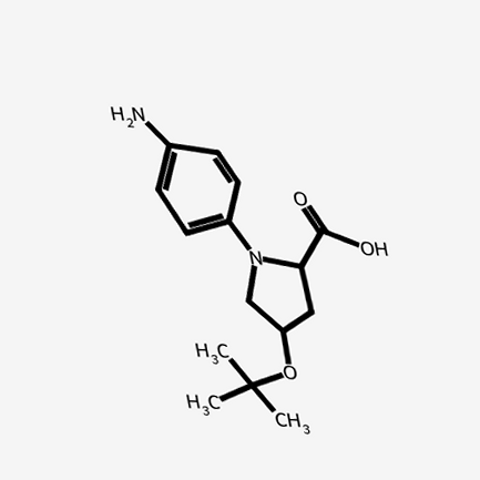 CC(C)(C)OC1CC(C(=O)O)N(c2ccc(N)cc2)C1